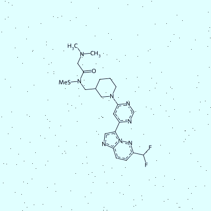 CSN(CC1CCCN(c2cc(-c3cnc4ccc(C(F)F)nn34)ncn2)C1)C(=O)CN(C)C